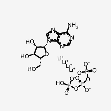 Nc1ncnc2c1ncn2[C@@H]1O[C@H](CO)[C@@H](O)[C@H]1O.O=P([O-])([O-])OP(=O)([O-])OP(=O)([O-])O.[Li+].[Li+].[Li+].[Li+]